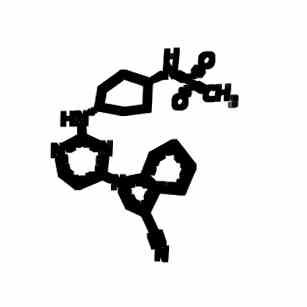 CS(=O)(=O)N[C@H]1CC[C@H](Nc2nccc(-n3cc(C#N)c4ccccc43)n2)CC1